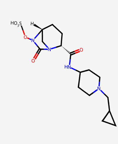 O=C(NC1CCN(CC2CC2)CC1)[C@H]1CC[C@@H]2CN1C(=O)N2OS(=O)(=O)O